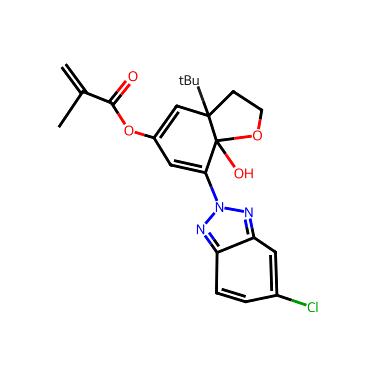 C=C(C)C(=O)OC1=CC2(C(C)(C)C)CCOC2(O)C(n2nc3ccc(Cl)cc3n2)=C1